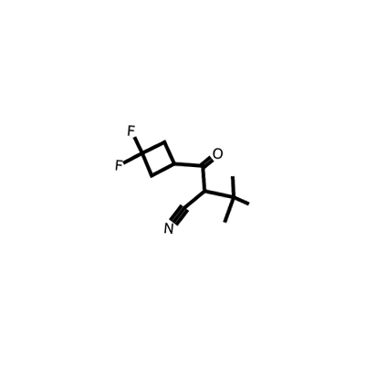 CC(C)(C)C(C#N)C(=O)C1CC(F)(F)C1